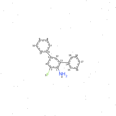 Nc1c(F)cc(-c2ccccc2)cc1-c1ccccc1